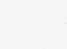 CC1=NN(c2ccc(C(=O)N[C@H]3CC[C@H](N)CC3)cc2)C(=O)C1